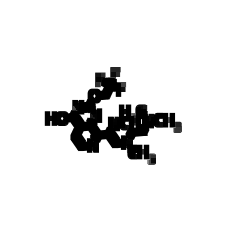 C=N/C(=C\N(C)CCN(C)C)c1nccc2c(O)nc(OCC(F)(F)F)nc12